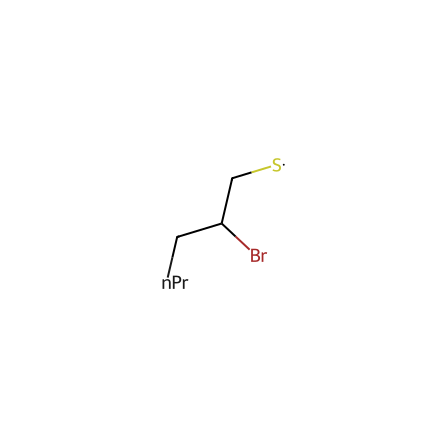 CCCCC(Br)C[S]